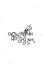 CC(C)OC(=O)[C@H](C)N[PH](=O)OC[C@@H](O[C@H](CBr)n1ccc(=O)[nH]c1=O)[C@H](Cl)OC(=O)C(N)C(C)C